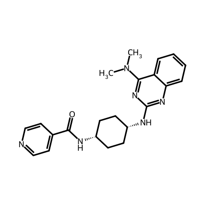 CN(C)c1nc(N[C@H]2CC[C@@H](NC(=O)c3ccncc3)CC2)nc2ccccc12